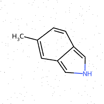 Cc1ccc2c[nH]cc2c1